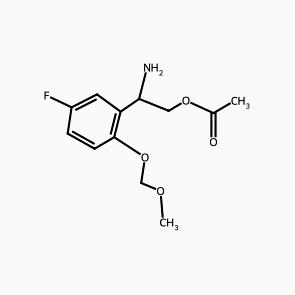 COCOc1ccc(F)cc1C(N)COC(C)=O